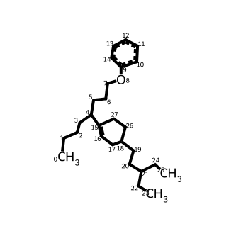 CCCCC(CCCOc1ccccc1)C1=CCC(CCC(CC)CC)CC1